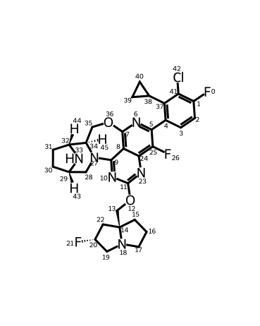 Fc1ccc(-c2nc3c4c(nc(OC[C@@]56CCCN5C[C@H](F)C6)nc4c2F)N2C[C@@H]4CC[C@@H](N4)[C@H]2CO3)c(C2CC2)c1Cl